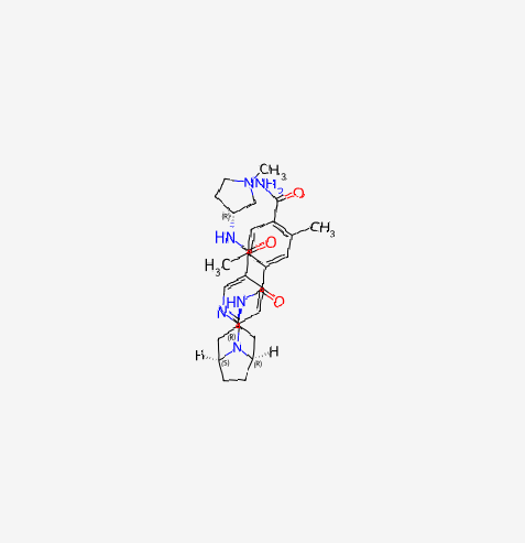 Cc1cc(C(=O)N[C@H]2C[C@H]3CC[C@@H](C2)N3c2ccc(C(=O)N[C@@H]3CCN(C)C3)cn2)c(C)cc1C(N)=O